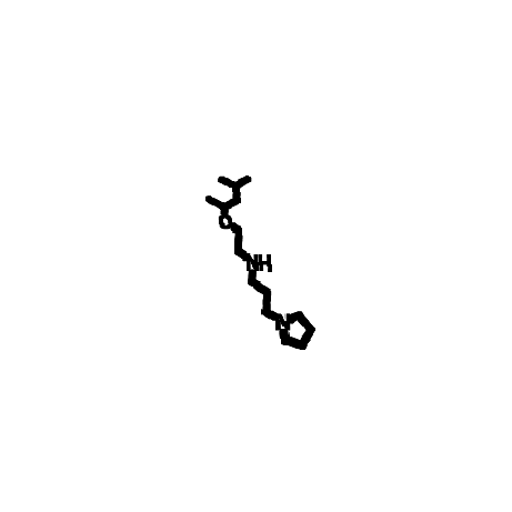 CC(C)CC(C)OCCNCCCN1CCCC1